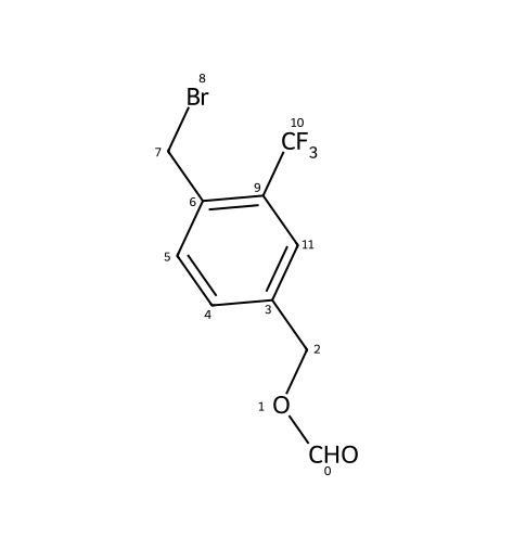 O=COCc1ccc(CBr)c(C(F)(F)F)c1